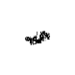 CCOC(=O)[C@H](C)OCC(C)NC1CCC(Nc2cc(-c3cccc(NCC4(C#N)CCOCC4)n3)c(Cl)cn2)CC1